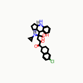 O=C(CC(NC1CC1)(C(=O)O)C1c2ccccc2N[C@@H]2CCC[C@H]12)C(=O)C1CCc2cc(Cl)ccc2C1